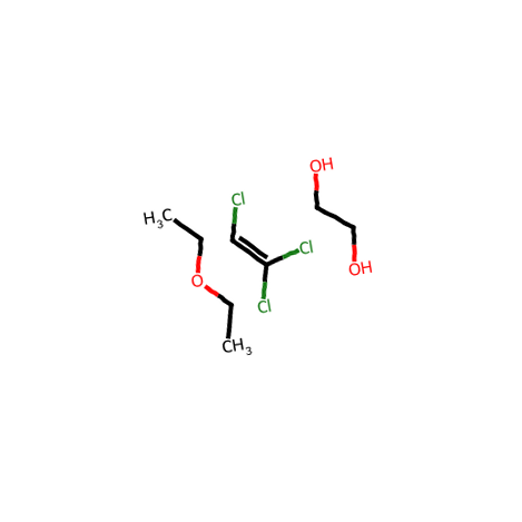 CCOCC.ClC=C(Cl)Cl.OCCO